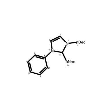 CCCCCCCCCCN1C=CN(c2ccccc2)C1CCCCCCCCC